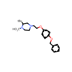 CC(C)(C)C1CN(CCOc2ccc(OCc3ccccc3)cc2)CCN1C(=O)O